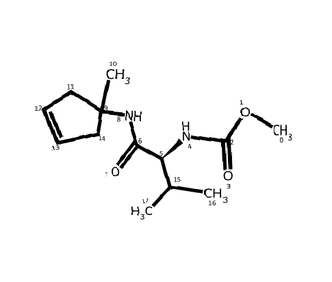 COC(=O)N[C@H](C(=O)NC1(C)CC=CC1)C(C)C